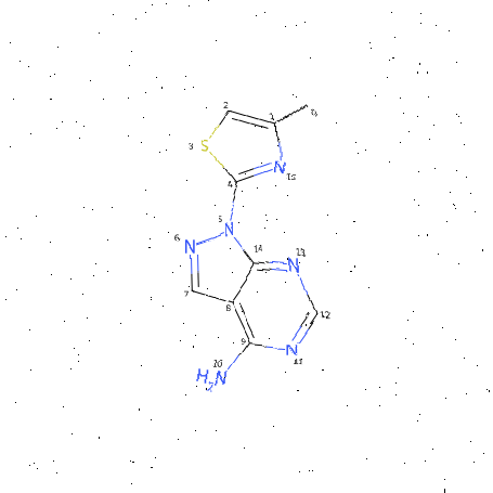 Cc1csc(-n2ncc3c(N)ncnc32)n1